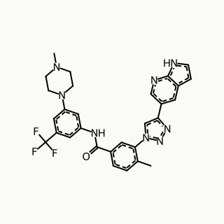 Cc1ccc(C(=O)Nc2cc(N3CCN(C)CC3)cc(C(F)(F)F)c2)cc1-n1cc(-c2cnc3[nH]ccc3c2)nn1